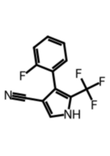 N#Cc1c[nH]c(C(F)(F)F)c1-c1ccccc1F